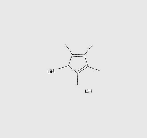 C[C]1C(C)=C(C)C(C)=C1C.[LiH].[LiH]